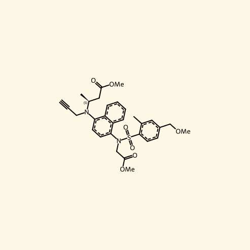 C#CCN(c1ccc(N(CC(=O)OC)S(=O)(=O)c2ccc(COC)cc2C)c2ccccc12)[C@@H](C)CC(=O)OC